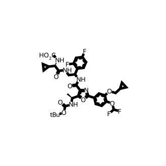 C[C@H](NC(=O)OC(C)(C)C)c1oc(-c2ccc(OC(F)F)c(OCC3CC3)c2)nc1C(=O)NC(CNC(=O)[C@@H](NC(=O)O)C1CC1)c1ccc(F)cc1F